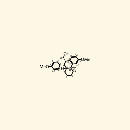 COC1=CCC([C@H]2[C@H]3CCCC[C@H]3c3cc(OC)ccc3[C@H]2CO)C=C1